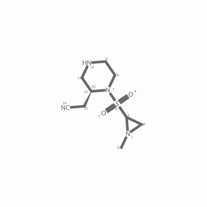 CN1CC1S(=O)(=O)N1CCNC[C@@H]1CC#N